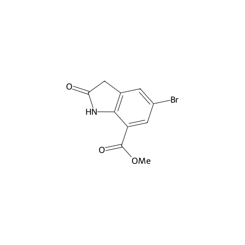 COC(=O)c1cc(Br)cc2c1NC(=O)C2